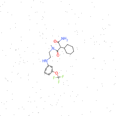 CN(CCNc1cccc(OC(F)(F)F)c1)C(=O)C(C(N)=O)C1CCCCC1